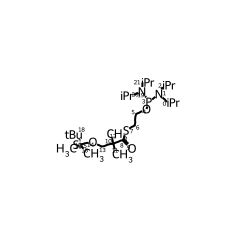 CC(C)N(C(C)C)P(OCCSC(=O)C(C)(C)CO[Si](C)(C)C(C)(C)C)N(C(C)C)C(C)C